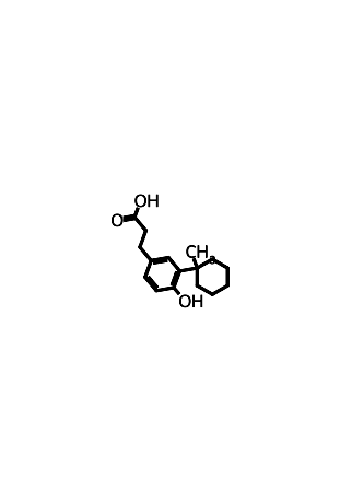 CC1(c2cc(CCC(=O)O)ccc2O)CCCCC1